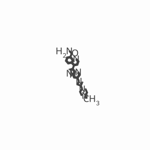 CN1CCN(C2CN(c3cnc4c(-c5ccnc6c(C(N)=O)cccc56)cnn4c3)C2)CC1